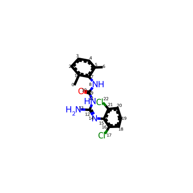 Cc1cccc(C)c1NC(=O)N/C(N)=N\c1c(Cl)cccc1Cl